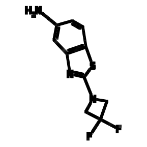 Nc1ccc2sc(N3CC(F)(F)C3)nc2c1